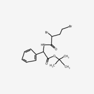 CC(C)(C)OC(=O)C(NC(=O)C(Br)CCBr)c1ccccc1